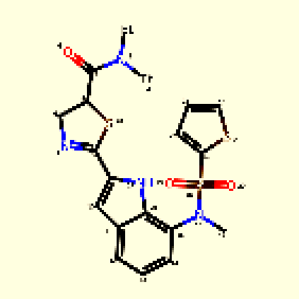 CCN(CC)C(=O)C1CN=C(c2cc3cccc(N(C)S(=O)(=O)c4cccs4)c3[nH]2)S1